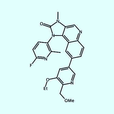 CCOc1cc(-c2ccc3ncc4c(c3c2)n(-c2ccc(F)nc2C)c(=O)n4C)cnc1COC